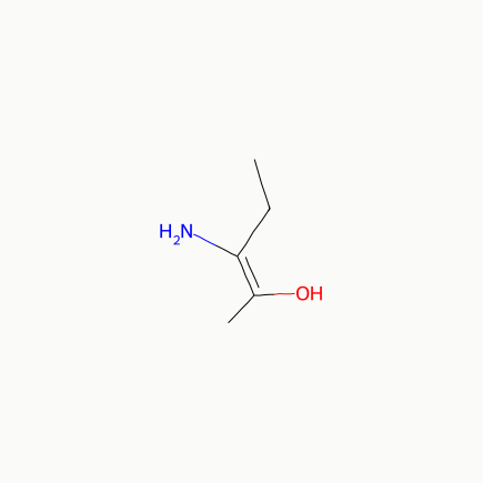 CC/C(N)=C(/C)O